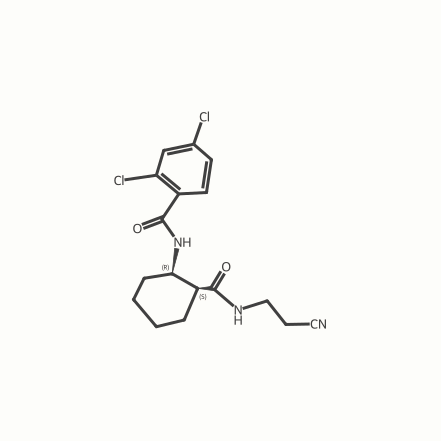 N#CCCNC(=O)[C@H]1CCCC[C@H]1NC(=O)c1ccc(Cl)cc1Cl